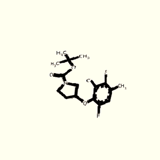 Cc1cc(F)c(OC2CCN(C(=O)OC(C)(C)C)C2)c(Cl)c1F